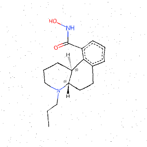 CCCN1CCC[C@H]2c3c(cccc3C(=O)NO)CC[C@@H]21